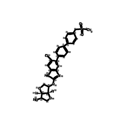 CS(=O)(=O)Cc1ccc(-c2ccc(-c3nc4nc(O[C@@H]5CO[C@H]6[C@@H]5OC[C@H]6O)[nH]c4cc3Cl)cc2)cc1